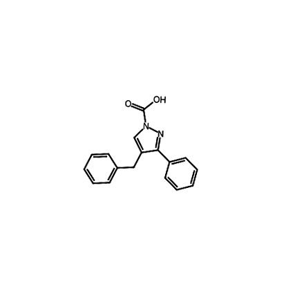 O=C(O)n1cc(Cc2ccccc2)c(-c2ccccc2)n1